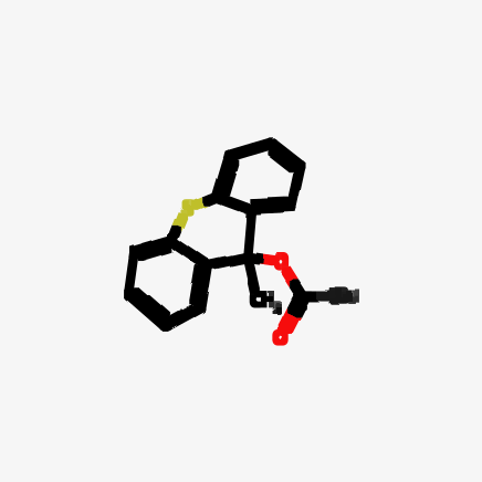 CC(C)(C)C(=O)OC1(C)c2ccccc2Sc2ccccc21